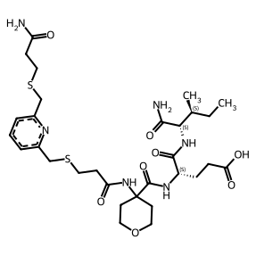 CC[C@H](C)[C@H](NC(=O)[C@H](CCC(=O)O)NC(=O)C1(NC(=O)CCSCc2cccc(CSCCC(N)=O)n2)CCOCC1)C(N)=O